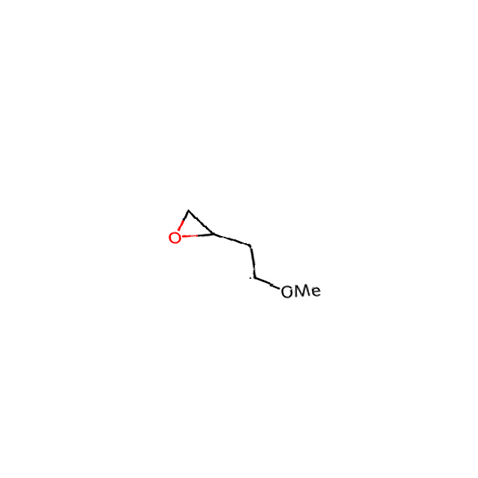 CO[CH]CC1CO1